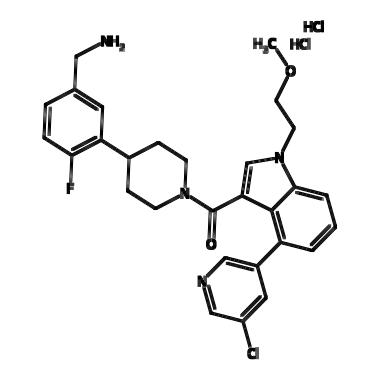 COCCn1cc(C(=O)N2CCC(c3cc(CN)ccc3F)CC2)c2c(-c3cncc(Cl)c3)cccc21.Cl.Cl